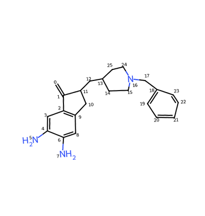 C=C1c2cc(N)c(N)cc2CC1CC1CCN(Cc2ccccc2)CC1